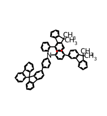 CC1(C)c2ccccc2-c2cc(-c3ccc(N(c4ccc(-c5ccc6c(c5)C5(c7ccccc7-c7ccccc75)c5ccccc5-6)cc4)c4ccccc4-c4cccc5c4-c4ccccc4C5(C)C)cc3)ccc21